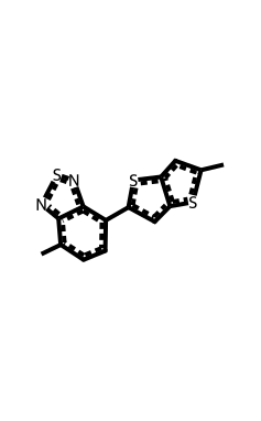 Cc1cc2sc(-c3ccc(C)c4nsnc34)cc2s1